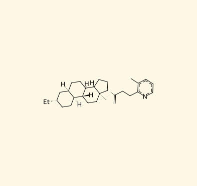 C=C(CCc1ncccc1C)[C@H]1CC[C@H]2[C@@H]3CC[C@@H]4C[C@@H](CC)CC[C@@H]4[C@H]3CC[C@]12C